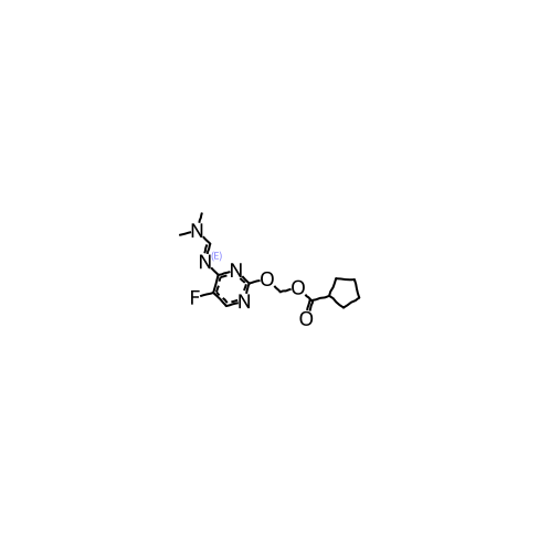 CN(C)/C=N/c1nc(OCOC(=O)C2CCCC2)ncc1F